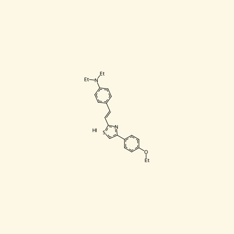 CCOc1ccc(-c2csc(C=Cc3ccc(N(CC)CC)cc3)n2)cc1.I